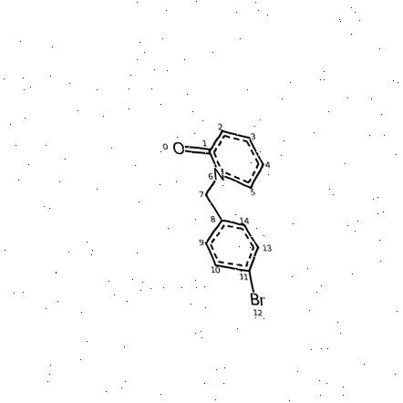 O=c1ccccn1Cc1ccc(Br)cc1